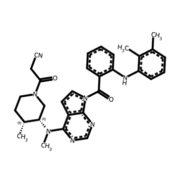 Cc1cccc(Nc2ccccc2C(=O)n2ccc3c(N(C)[C@H]4CN(C(=O)CC#N)CC[C@H]4C)ncnc32)c1C